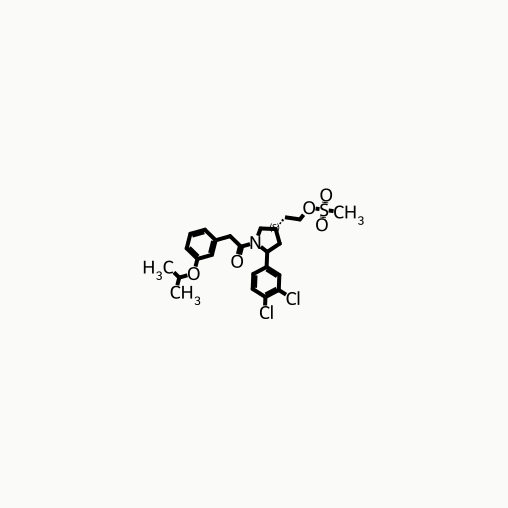 CC(C)Oc1cccc(CC(=O)N2C[C@H](CCOS(C)(=O)=O)CC2c2ccc(Cl)c(Cl)c2)c1